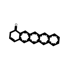 O=C1CC=Cc2cc3cc4cc5ccccc5cc4cc3cc21